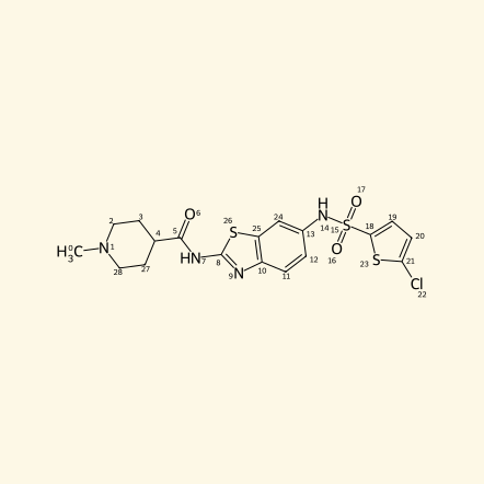 CN1CCC(C(=O)Nc2nc3ccc(NS(=O)(=O)c4ccc(Cl)s4)cc3s2)CC1